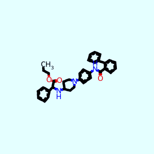 CCCOC(=O)C(NC1CCN(c2ccc(NC(=O)c3ccccc3-c3ccccc3)cc2)CC1)c1ccccc1